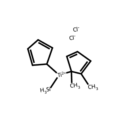 CC1=CC=C[C]1(C)[Ti+2]([SiH3])[CH]1C=CC=C1.[Cl-].[Cl-]